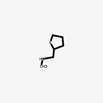 O=[C]NCC1CCCS1